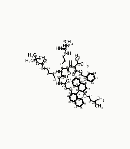 CNC(=N)NCCC[C@@H](NC(=O)[C@@H](CCCCNC(=O)OC(C)(C)C)NC(=O)COc1ccc2ccccc2c1-c1c(OCCC(C)C)ccc2ccccc12)C(=O)N[C@H](C(=O)OCc1ccccc1)C(C)C